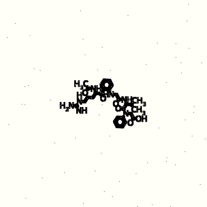 CC(=O)NC(CCCNC(=N)N)C(=O)c1ccccc1NCC(=O)NC(C(=O)N(CC(=O)O)c1ccccc1)C(C)C